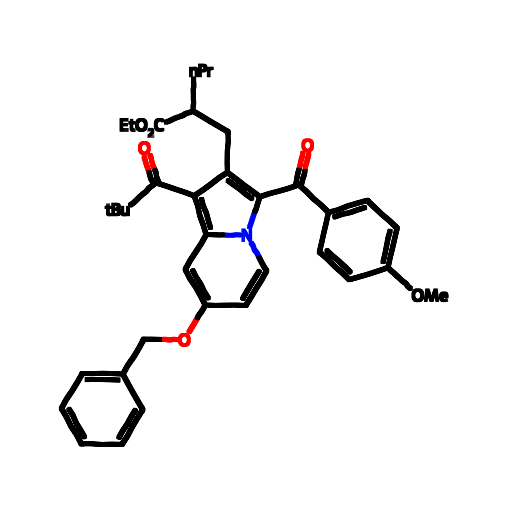 CCCC(Cc1c(C(=O)C(C)(C)C)c2cc(OCc3ccccc3)ccn2c1C(=O)c1ccc(OC)cc1)C(=O)OCC